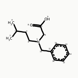 CC(C)CCN(CC(=O)O)Cc1ccccc1